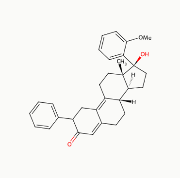 COc1ccccc1[C@]1(O)CC[C@H]2[C@@H]3CCC4=CC(=O)C(c5ccccc5)CC4=C3CC[C@@]21C